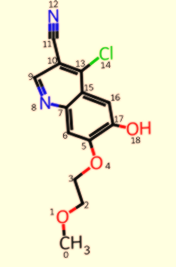 COCCOc1cc2ncc(C#N)c(Cl)c2cc1O